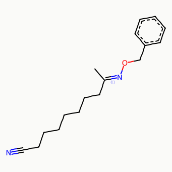 C/C(CCCCCCCC#N)=N\OCc1ccccc1